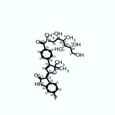 C[C@@H]([C@@H](O)[C@H](O)CO)[C@@H](O)CN(C)C(=O)c1ccc(C2=C/C(=C3\C(=O)Nc4cc(F)ccc43)OC2(C)C)cc1